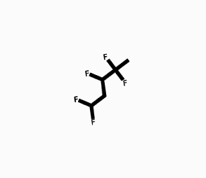 CC(F)(F)C(F)C[C](F)F